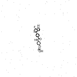 CC(C)(O)COC1CCC(NC(=O)c2ccc(-c3ncc(F)c4[nH]ccc34)cc2)CC1